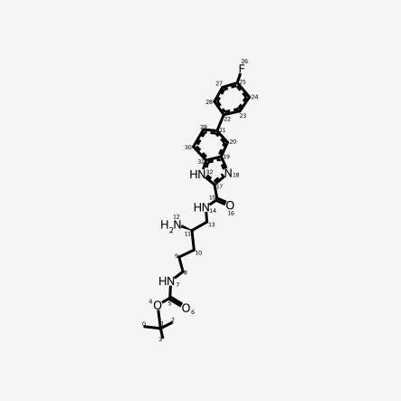 CC(C)(C)OC(=O)NCCC[C@@H](N)CNC(=O)c1nc2cc(-c3ccc(F)cc3)ccc2[nH]1